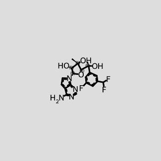 C[C@]1(O)[C@@H](O)[C@H](n2ccc3c(N)ncnc32)O[C@@H]1[C@](C)(O)c1cc(F)cc(C(F)F)c1